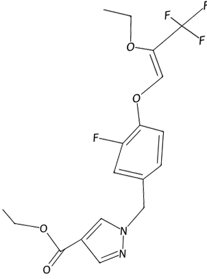 CCOC(=O)c1cnn(Cc2ccc(O/C=C(\OCC)C(F)(F)F)c(F)c2)c1